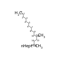 C=CCCCCCCCCCC(C)CCC(C)CCCCCCC